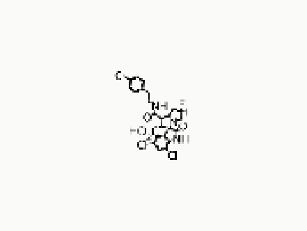 O=C(NCCc1ccc(Cl)cc1)C1C2CC(F)(F)CN2C2(C(=O)Nc3c(Cl)cc(Cl)cc32)C1C(=O)O